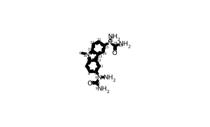 Cn1c2ccc(N(N)C(N)=O)cc2c2cc(N(N)C(N)=O)ccc21